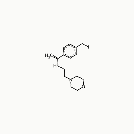 C=C(NCCN1CCOCC1)c1ccc(CI)cc1